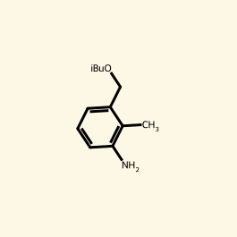 Cc1c(N)cccc1COCC(C)C